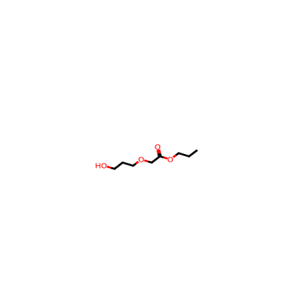 CCCOC(=O)COCCCO